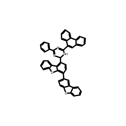 c1ccc(C2=NC(c3ccc(-c4ccc5oc6ccccc6c5c4)c4oc5ccccc5c34)NC(c3cc4ccccc4c4ccccc34)=N2)cc1